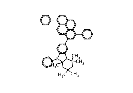 CC1(C)CC(C)(C)C2c3cc(-c4cc(-c5ccccc5)c5ccc6ccc(-c7ccccc7)c7ccc4c5c67)ccc3N(c3ccccc3)C2(C)C1